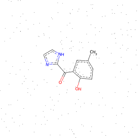 Cc1ccc(O)c(C(=O)c2ncc[nH]2)c1